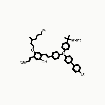 CCCCCC(C)(C)c1ccc(N(c2ccc(C=Cc3cc(OCCC(C)CCCC(C)C)c(C=CC(C)(C)C)cc3O)cc2)c2ccc(-c3ccc(CC)cc3)cc2)cc1